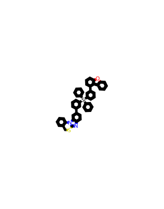 c1ccc([Si](c2ccccc2)(c2cccc(-c3ccc4nc5n(c4c3)-c3ccccc3CS5)c2)c2cccc(-c3cccc4oc5ccccc5c34)c2)cc1